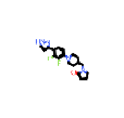 O=C1CCCN1CC1CCN(c2ccc(-c3cc[nH]n3)c(F)c2F)CC1